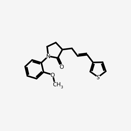 COc1ccccc1N1CCC(C/C=C/c2ccsc2)C1=O